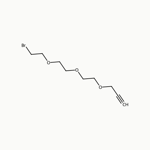 C#CCOCCOCCOCCBr